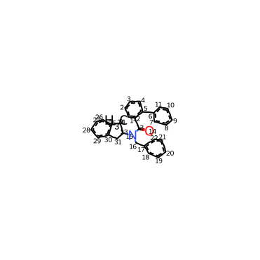 Cc1cccc(-c2ccccc2)c1C(=O)N(Cc1ccccc1)C1Cc2ccccc2C1